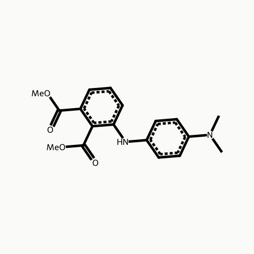 COC(=O)c1cccc(Nc2ccc(N(C)C)cc2)c1C(=O)OC